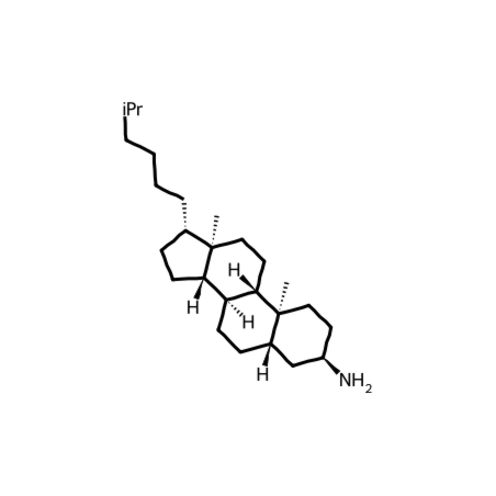 CC(C)CCCC[C@H]1CC[C@H]2[C@@H]3CC[C@H]4C[C@H](N)CC[C@]4(C)[C@H]3CC[C@]12C